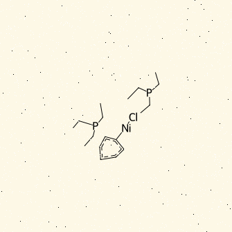 CCP(CC)CC.CCP(CC)CC.[Cl][Ni][c]1ccccc1